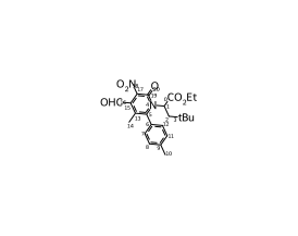 CCOC(=O)C(CC(C)(C)C)n1c(-c2ccc(C)cc2)c(C)c(C=O)c([N+](=O)[O-])c1=O